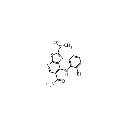 CCc1ccccc1Nc1c(C(N)=O)cnc2sc([S+](C)[O-])nc12